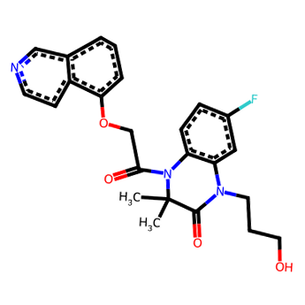 CC1(C)C(=O)N(CCCO)c2cc(F)ccc2N1C(=O)COc1cccc2cnccc12